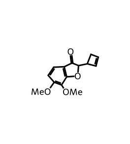 COc1ccc2c(c1OC)OC(C1C=CC1)C2=O